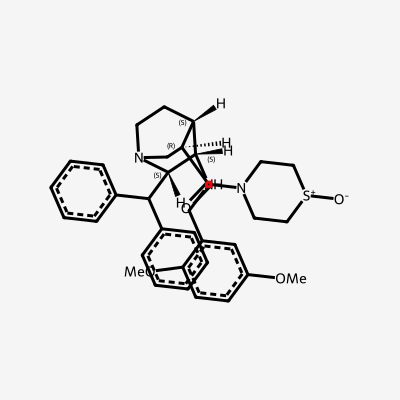 COc1ccc(OC)c(CN[C@H]2[C@H]3CCN(C[C@@H]3C(=O)N3CC[S+]([O-])CC3)[C@H]2C(c2ccccc2)c2ccccc2)c1